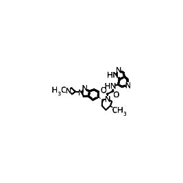 C[C@H]1CC[C@H](c2ccc3nn(C4CN(C)C4)cc3c2)N(C(=O)C(=O)Nc2cncc3cn[nH]c23)C1